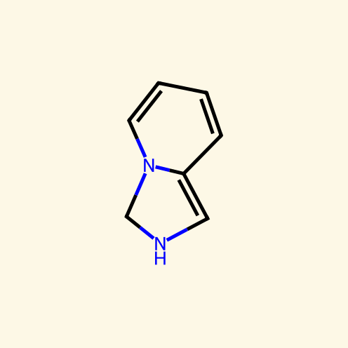 C1=CC2=CNCN2C=C1